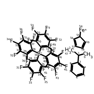 CC(C)c1ccccc1.Fc1c(F)c(F)c([B-](c2c(F)c(F)c(F)c(F)c2F)(c2c(F)c(F)c(F)c(F)c2F)c2c(F)c(F)c(F)c(F)c2F)c(F)c1F.[Fe+][CH]1C=CC=C1